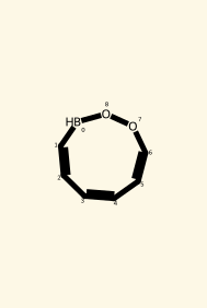 B1C=CC=CC=COO1